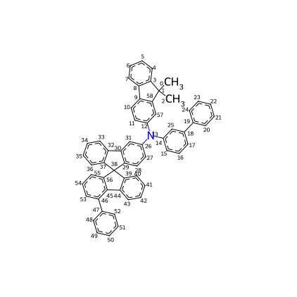 CC1(C)c2ccccc2-c2ccc(N(c3cccc(-c4ccccc4)c3)c3ccc4c(c3)-c3ccccc3C43c4ccccc4-c4c(-c5ccccc5)cccc43)cc21